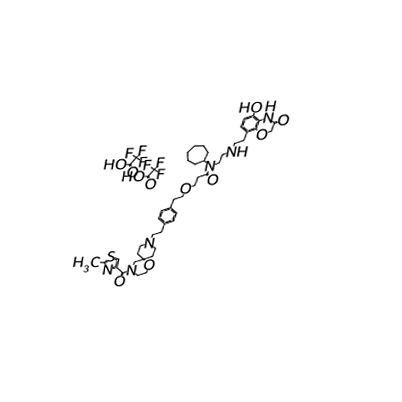 Cc1nc(C(=O)N2CCOC3(CCN(CCc4ccc(CCOCCC(=O)N(CCNCCc5ccc(O)c6c5OCC(=O)N6)C5CCCCCC5)cc4)CC3)C2)cs1.O=C(O)C(F)(F)F.O=C(O)C(F)(F)F